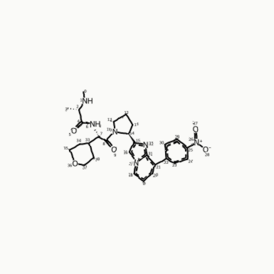 CN[C@@H](C)C(=O)N[C@H](C(=O)N1CCC[C@H]1c1cn2cccc(-c3ccc([N+](=O)[O-])cc3)c2n1)C1CCOCC1